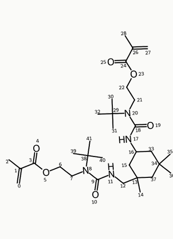 C=C(C)C(=O)OCCN(C(=O)NCC1(C)CC(NC(=O)N(CCOC(=O)C(=C)C)C(C)(C)C)CC(C)(C)C1)C(C)(C)C